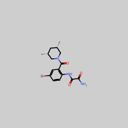 C[C@@H]1C[C@H](C)CN(C(=O)c2cc(Br)ccc2NC(=O)C(N)=O)C1